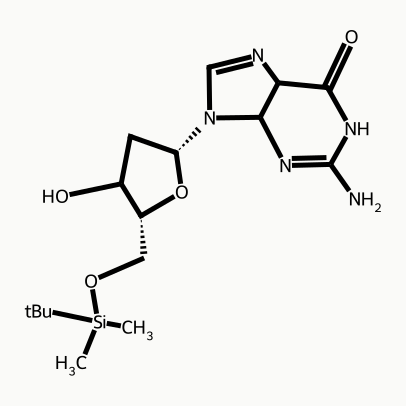 CC(C)(C)[Si](C)(C)OC[C@H]1O[C@@H](N2C=NC3C(=O)NC(N)=NC32)CC1O